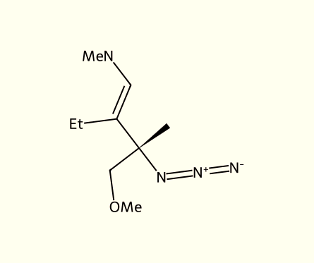 CC/C(=C\NC)[C@@](C)(COC)N=[N+]=[N-]